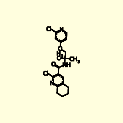 CC(C)(COc1ccnc(Cl)c1)NC(=O)c1cc2c(nc1Cl)CCCC2